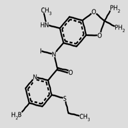 Bc1cnc(C(=O)N(I)c2cc3c(cc2NC)OC(P)(P)O3)c(SCC)c1